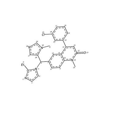 CCc1nccn1C(c1ccc2c(c1)c(-c1cccc(Cl)c1)cc(=O)n2C)c1cncn1C